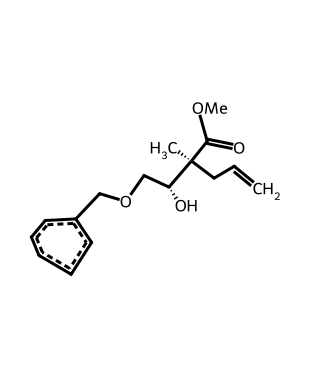 C=CC[C@](C)(C(=O)OC)[C@H](O)COCc1ccccc1